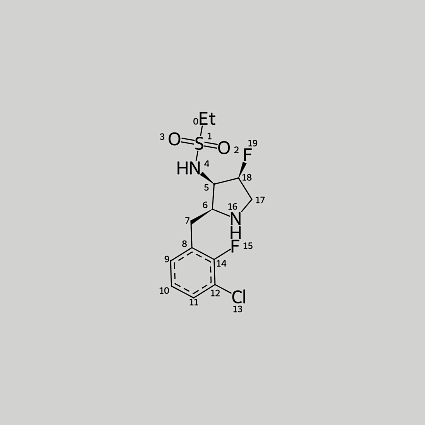 CCS(=O)(=O)N[C@@H]1[C@H](Cc2cccc(Cl)c2F)NC[C@@H]1F